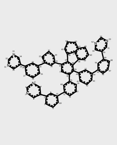 c1cc(-c2cncnc2)cc(-c2cccc(-c3cc(-c4cccc(-c5cccc(-c6cncnc6)c5)c4)c4c(c3-c3cccc(-c5cccc(-c6cncnc6)c5)c3)-c3cccc5cccc-4c35)c2)c1